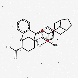 NC(N)=C(/C=C(\N)c1ccccc1O)N1CC2CCC(C1)N2c1ncc([C@H]2CC[C@H](C(=O)O)CC2)cn1